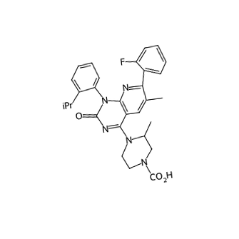 Cc1cc2c(N3CCN(C(=O)O)CC3C)nc(=O)n(-c3ccccc3C(C)C)c2nc1-c1ccccc1F